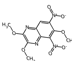 COc1nc2cc([N+](=O)[O-])c(OC)c([N+](=O)[O-])c2nc1OC